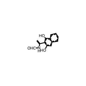 C=C(NC=O)c1c(O)cc2ccccc2c1O